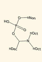 CCCCCCCCCCC(OP(=O)(O)OCCCCCCCCC)N(CCCCCCCC)CCCCCCCC